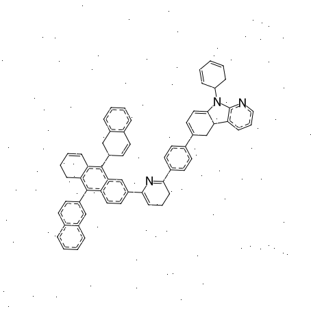 C1=CCC(N2C3=CC=C(c4ccc(C5=NC(c6ccc7c(-c8ccc9ccccc9c8)c8c(c(C9C=Cc%10ccccc%10C9)c7c6)C=CCC8)=CCC5)cc4)CC3c3cccnc32)C=C1